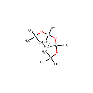 CC(C)[Si](C)(O[Si](C)(C)C)O[Si](C)(C)O[Si](C)(C)C